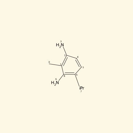 Cc1c(N)ccc(C(C)C)c1N